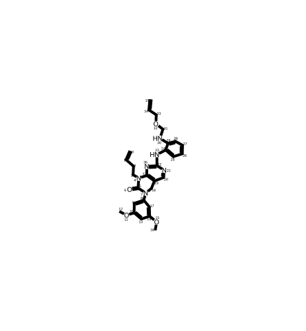 C=CCCN1C(=O)N(c2cc(OC)cc(OC)c2)Cc2cnc(Nc3ccccc3NCOCC=C)nc21